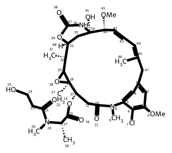 COc1cc2cc(c1Cl)N(C)C(=O)C[C@H](OC(=O)[C@H](C)N(C)C(=O)CCO)[C@@]1(C)OC1[C@H](C)[C@@H]1C[C@@](O)(NC(=O)O1)[C@H](OC)/C=C/C=C(\C)C2